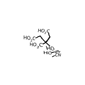 CC#N.CC(C)O.O=C(O)CC(O)(CC(=O)O)C(=O)O